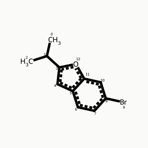 CC(C)c1cc2ccc(Br)cc2o1